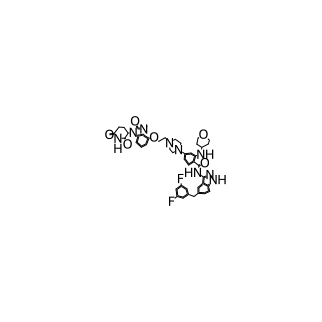 Cn1c(=O)n(C2CCC(=O)NC2=O)c2cccc(OCCN3CCN(c4ccc(C(=O)Nc5n[nH]c6ccc(Cc7cc(F)cc(F)c7)cc56)c(NC5CCOCC5)c4)CC3)c21